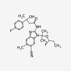 CCC(F)OC(C)(C)n1c(NC(=O)C[C@](C)(O)c2ccc(F)cc2)nc2cc(C)c(C#N)cc21